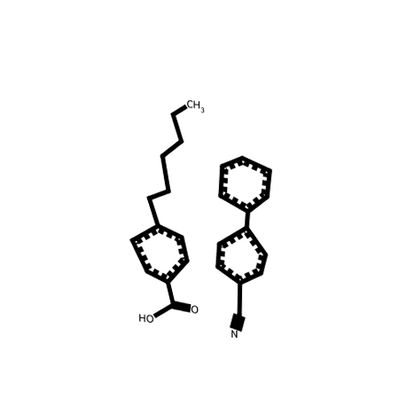 CCCCCCc1ccc(C(=O)O)cc1.N#Cc1ccc(-c2ccccc2)cc1